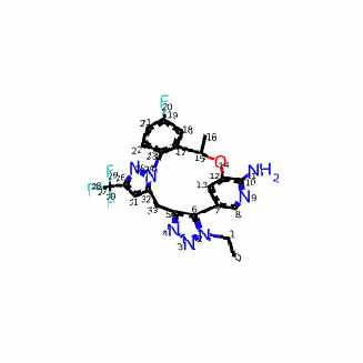 CCn1nnc2c1-c1cnc(N)c(c1)OC(C)c1cc(F)ccc1-n1nc(C(F)(F)F)cc1C2